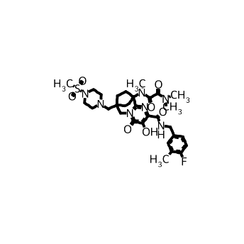 Cc1cc(CNC(=O)c2nc3n(c(=O)c2O)CC2(CN4CCN(S(C)(=O)=O)CC4)CCC3(N(C)C(=O)C(=O)N(C)C)CC2)ccc1F